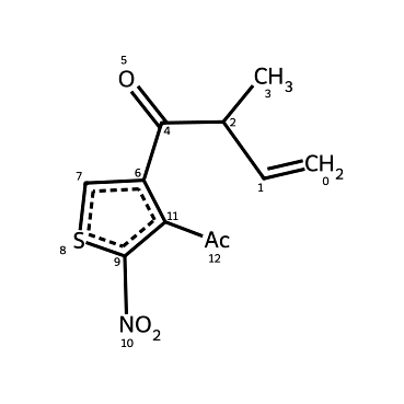 C=CC(C)C(=O)c1csc([N+](=O)[O-])c1C(C)=O